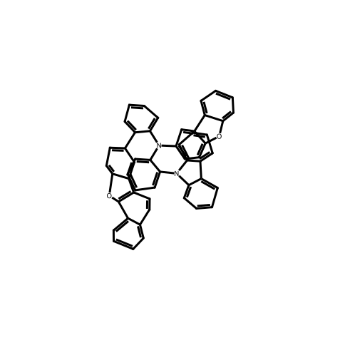 c1ccc(N(c2ccc3oc4ccccc4c3c2)c2ccccc2-n2c3ccccc3c3ccccc32)c(-c2ccc3oc4c5ccccc5ccc4c3c2)c1